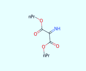 CCCOC(=O)C(=N)C(=O)OCCC